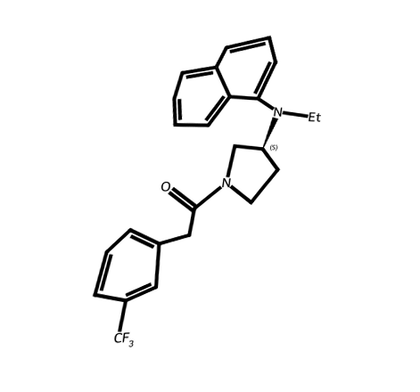 CCN(c1cccc2ccccc12)[C@H]1CCN(C(=O)Cc2cccc(C(F)(F)F)c2)C1